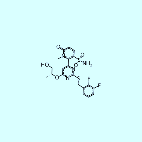 C[C@H](CO)Oc1cc(-c2c(S(N)(=O)=O)ccc(=O)n2C)nc(SCc2cccc(F)c2F)n1